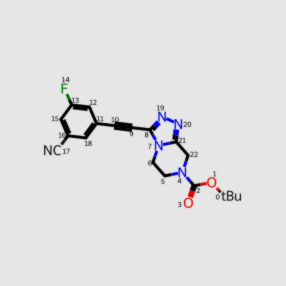 CC(C)(C)OC(=O)N1CCn2c(C#Cc3cc(F)cc(C#N)c3)nnc2C1